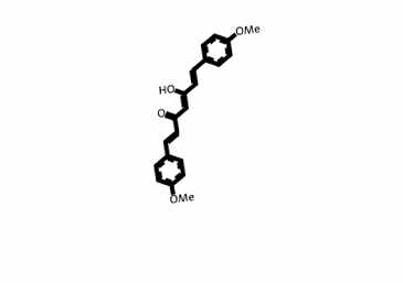 COc1ccc(C=CC(=O)C=C(O)C=Cc2ccc(OC)cc2)cc1